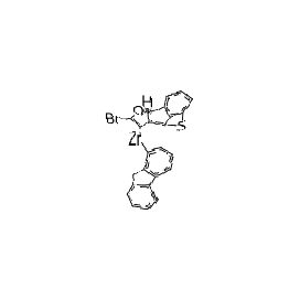 BrC1=[C]([Zr][c]2cccc3c2Cc2ccccc2-3)C2=C3Sc4cccc(c43)[C@H]2O1